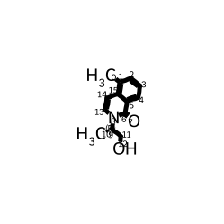 Cc1cccc2c(=O)n([C@H](C)CO)ccc12